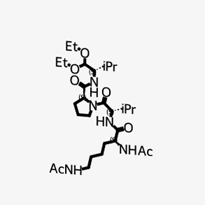 CCOC(OCC)[C@@H](NC(=O)[C@@H]1CCCN1C(=O)[C@@H](NC(=O)[C@H](CCCCNC(C)=O)NC(C)=O)C(C)C)C(C)C